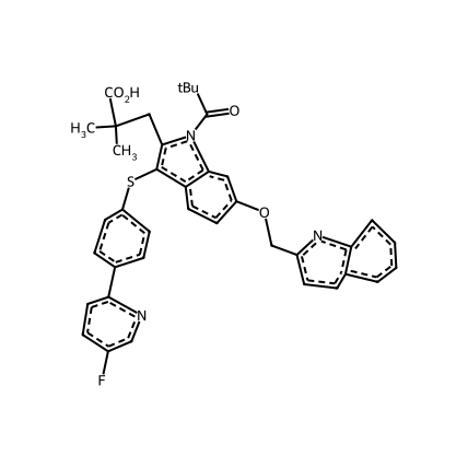 CC(C)(C)C(=O)n1c(CC(C)(C)C(=O)O)c(Sc2ccc(-c3ccc(F)cn3)cc2)c2ccc(OCc3ccc4ccccc4n3)cc21